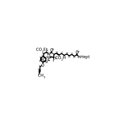 CC#CCOc1ccc(C[C@H](NC(=O)[C@@H](/C=C/CCCCCCC(=O)CCCCCCC)[C@@](I)(CC(=O)O)C(=O)O)C(=O)OCC)cc1